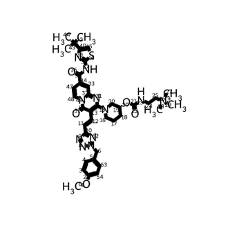 COc1ccc(Cn2nnc(C=Cc3c(N4CCC[C@@H](OC(=O)NCC[N+](C)(C)C)C4)nc4cc(C(=O)Nc5nc(C(C)(C)C)cs5)ccn4c3=O)n2)cc1